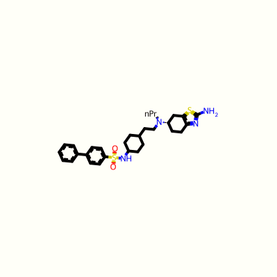 CCCN(CCC1CCC(NS(=O)(=O)c2ccc(-c3ccccc3)cc2)CC1)[C@H]1CCc2nc(N)sc2C1